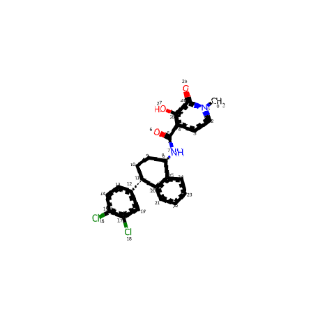 Cn1ccc(C(=O)N[C@H]2CC[C@@H](c3ccc(Cl)c(Cl)c3)c3ccccc32)c(O)c1=O